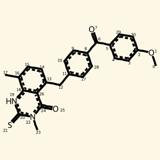 COc1ccc(C(=O)c2ccc(Cc3ccc(C)c4[nH]c(=S)n(C)c(=O)c34)cc2)cc1